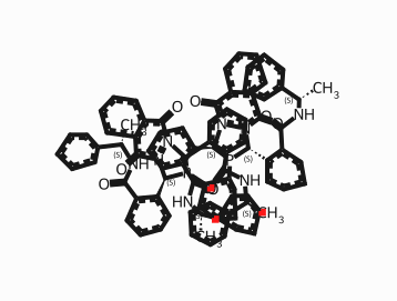 C[C@H](NC(=O)c1ccccc1C1n2c(=O)c3ccccc3c(=O)n2[C@H](c2ccccc2C(=O)N[C@@H](C)c2ccccc2)P1c1ccccc1P1[C@@H](c2ccccc2C(=O)N[C@@H](C)c2ccccc2)n2c(=O)c3ccccc3c(=O)n2[C@@H]1c1ccccc1C(=O)N[C@@H](C)c1ccccc1)c1ccccc1